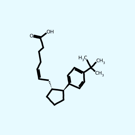 CC(C)(C)c1ccc([C@H]2CCC[C@@H]2C/C=C\CCCC(=O)O)cc1